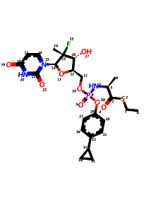 CCSC(=O)[C@H](C)NP(=O)(OC[C@H]1O[C@@H](n2ccc(=O)[nH]c2=O)[C@](C)(F)[C@@H]1O)Oc1ccc(C2CC2)cc1